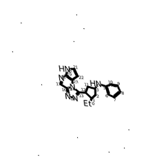 CCC1CC(Nc2ccccc2)CC1c1nnc2cnc3[nH]ccc3n12